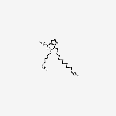 CCCCCCCCCCCC(CCCCCCCC)c1nccn1C(C)C